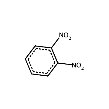 O=[N+]([O-])c1[c]cc[c]c1[N+](=O)[O-]